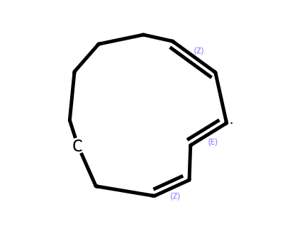 [C]1=C/C=C\CCCCCC\C=C/1